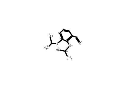 CC(O)Sc1cccc(C=O)c1SC(C)O